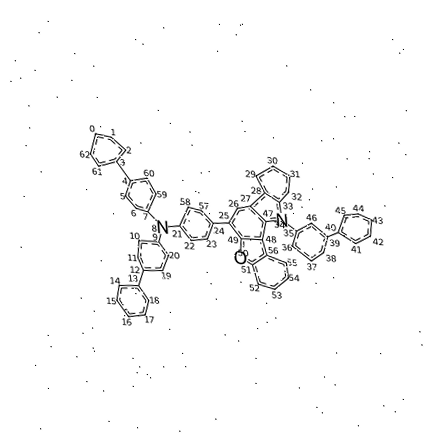 c1ccc(-c2ccc(N(c3ccc(-c4ccccc4)cc3)c3ccc(-c4cc5c6ccccc6n(-c6cccc(-c7ccccc7)c6)c5c5c4oc4ccccc45)cc3)cc2)cc1